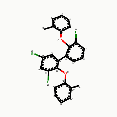 Cc1ccccc1Oc1c(F)cccc1-c1cc(Br)cc(F)c1Oc1ccccc1C